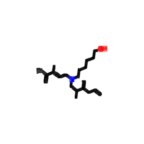 C=CCC(=C)C(C)CN(C/C=C(\C)C(=C)CC)CCCCCCO